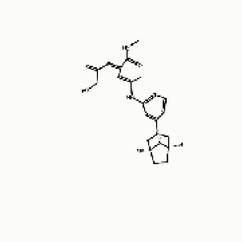 C=C(CO)/N=C(\C=C(/C)Nc1nccc(N2C[C@H]3CC[C@@H](C2)N3)n1)C(=O)NC